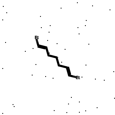 CCC=CC[CH]CC=CCC